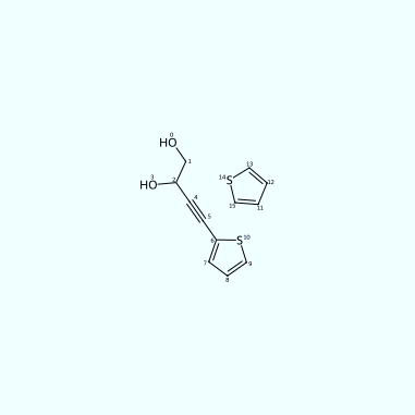 OCC(O)C#Cc1cccs1.c1ccsc1